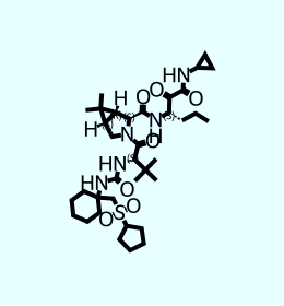 CCC[C@H](NC(=O)[C@@H]1[C@@H]2[C@H](CN1C(=O)[C@@H](NC(=O)NC1(CS(=O)(=O)C3CCCC3)CCCCC1)C(C)(C)C)C2(C)C)C(=O)C(=O)NC1CC1